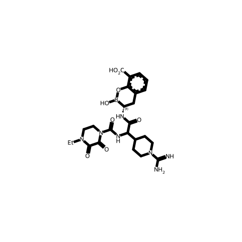 CCN1CCN(C(=O)NC(C(=O)N[C@H]2Cc3cccc(C(=O)O)c3OB2O)C2CCN(C(=N)N)CC2)C(=O)C1=O